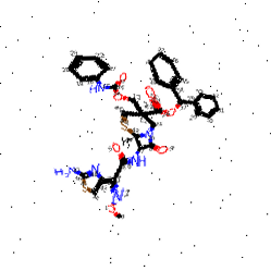 CON=C(C(=O)NC1C(=O)N2CC(COC(=O)Nc3ccccc3)(C(=O)OC(c3ccccc3)c3ccccc3)CS[C@H]12)c1csc(N)n1